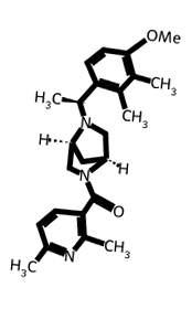 COc1ccc([C@H](C)N2C[C@@H]3C[C@H]2CN3C(=O)c2ccc(C)nc2C)c(C)c1C